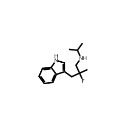 CC(C)NCC(C)(F)Cc1c[nH]c2ccccc12